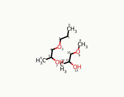 CCCOCC(C)O.COCC(C)O